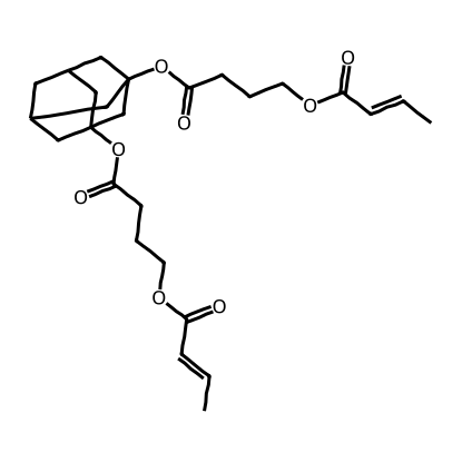 CC=CC(=O)OCCCC(=O)OC12CC3CC(C1)CC(OC(=O)CCCOC(=O)C=CC)(C3)C2